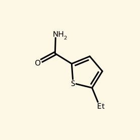 CCc1ccc(C(N)=O)s1